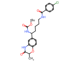 CC1Oc2ccc(C(CCCCNC(=O)c3ccc(Cl)cc3)NC(=O)OC(C)(C)C)cc2NC1=O